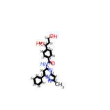 Cc1cc2nc(NC(=O)c3ccc([C@@H](O)CCO)cc3)cc(-c3ccccc3)n2n1